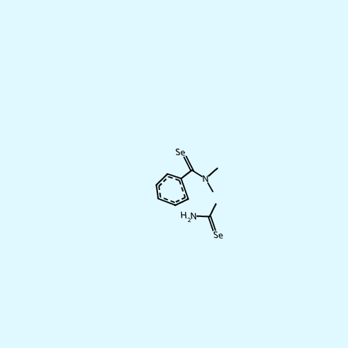 CC(N)=[Se].CN(C)C(=[Se])c1ccccc1